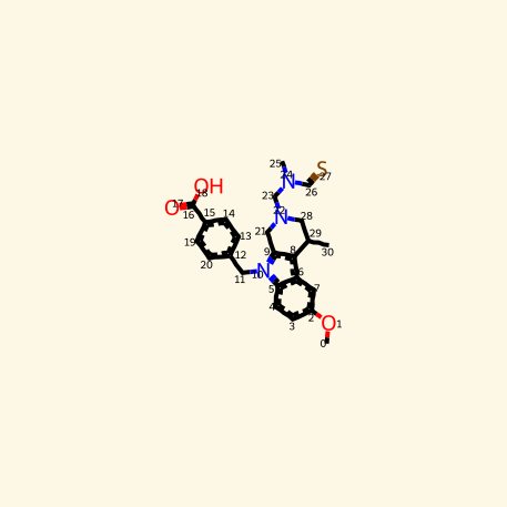 COc1ccc2c(c1)c1c(n2Cc2ccc(C(=O)O)cc2)CN(CN(C)C=S)CC1C